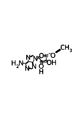 CC#COC[C@H]1O[C@@H](n2cnc3c(N)ncnc32)[C@H](O)[C@@H]1O